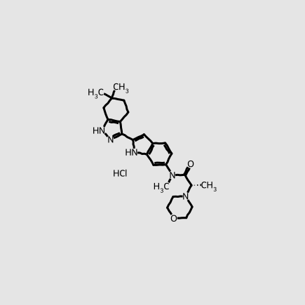 C[C@@H](C(=O)N(C)c1ccc2cc(-c3n[nH]c4c3CCC(C)(C)C4)[nH]c2c1)N1CCOCC1.Cl